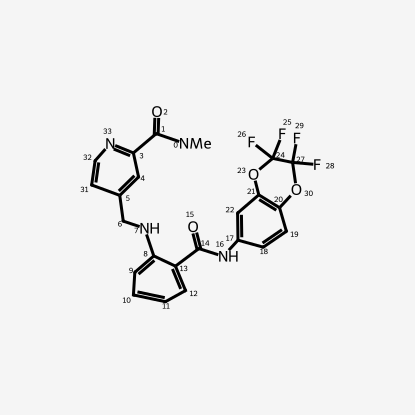 CNC(=O)c1cc(CNc2ccccc2C(=O)Nc2ccc3c(c2)OC(F)(F)C(F)(F)O3)ccn1